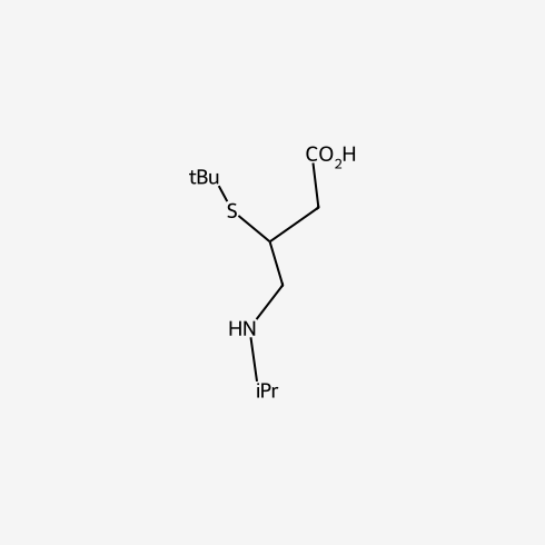 CC(C)NCC(CC(=O)O)SC(C)(C)C